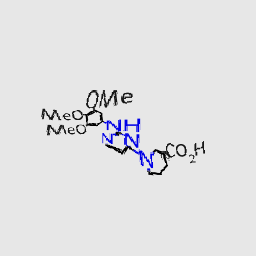 COc1cc(Nc2nccc(N3CCC[C@@H](C(=O)O)C3)n2)cc(OC)c1OC